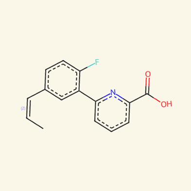 C/C=C\c1ccc(F)c(-c2cccc(C(=O)O)n2)c1